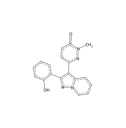 Cn1nc(-c2c(-c3ccccc3O)nn3ccccc23)ccc1=O